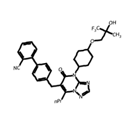 CCCc1c(Cc2ccc(-c3ccccc3C#N)cc2)c(=O)n(C2CCC(OCC(C)(O)C(F)(F)F)CC2)c2ncnn12